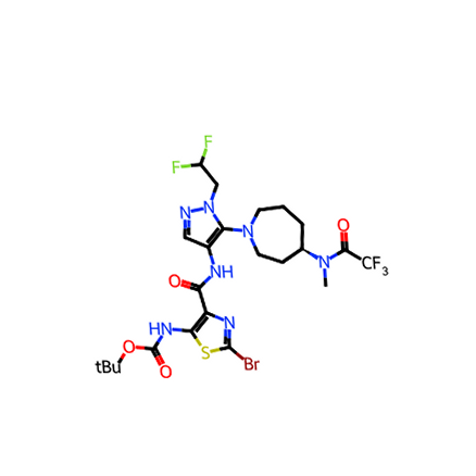 CN(C(=O)C(F)(F)F)[C@@H]1CCCN(c2c(NC(=O)c3nc(Br)sc3NC(=O)OC(C)(C)C)cnn2CC(F)F)CC1